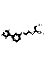 CC(CO)OCCOc1cccc(-c2ccsc2)c1